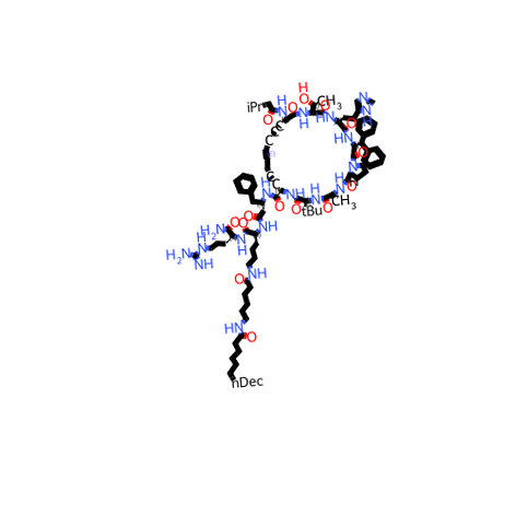 CCCCCCCCCCCCCCCC(=O)NCCCCCC(=O)NCCCC[C@H](NC(=O)C[C@H](Cc1ccccc1)NC(=O)[C@@H]1CCC/C=C/CCC[C@H](NC(=O)CC(C)C)C(=O)NC([C@@H](C)O)C(=O)N[C@@H](CCc2cnc[nH]2)C(=O)N[C@@H](C(c2ccccc2)c2ccccc2)C(=O)N2CCC[C@H]2C(=O)N[C@@H](C)C(=O)N[C@@H](C(C)(C)C)C(=O)N1)C(=O)N[C@H](CCCNC(=N)N)C(N)=O